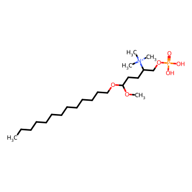 CCCCCCCCCCCCCOC(CCC(COP(=O)(O)O)[N+](C)(C)C)OC